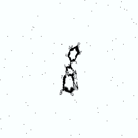 [c]1ccc(-c2cn3cccnc3n2)cc1